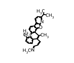 C/N=C/C=C\C(=C(/C)c1c(C)ccc2c1oc1nc(C(C)C)ccc12)c1cccc(C)c1